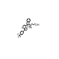 CC(Cc1ccccc1)(C(=O)NCCCO)c1ccnc2c(-c3ccc(C(F)(F)F)cc3)cnn12